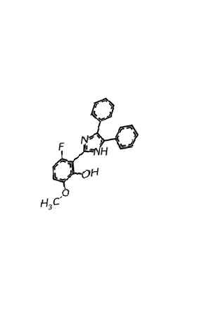 COc1ccc(F)c(-c2nc(-c3ccccc3)c(-c3ccccc3)[nH]2)c1O